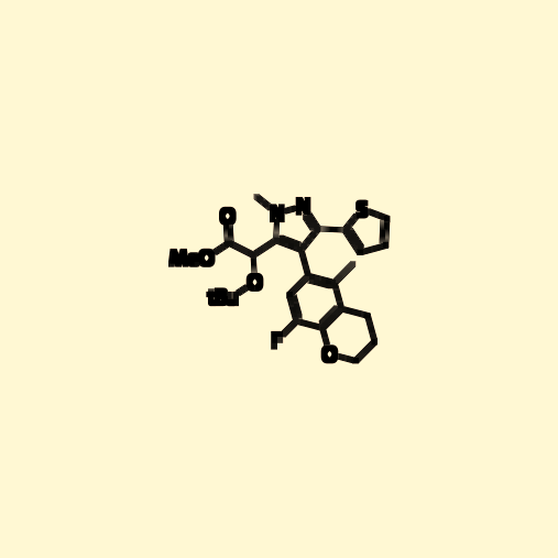 COC(=O)C(OC(C)(C)C)c1c(-c2cc(F)c3c(c2C)CCCO3)c(-c2cccs2)nn1C